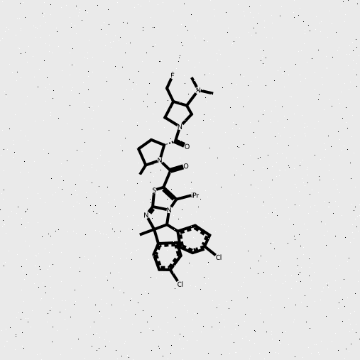 CC(C)C1=C(C(=O)N2C(C)CC[C@@H]2C(=O)N2CC(CF)C(N(C)C)C2)SC2=NC(C)(c3ccc(Cl)cc3)C(c3ccc(Cl)cc3)N21